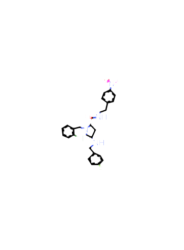 O=C(NCCc1ccc([N+](=O)[O-])cc1)[C@@H]1C[C@H](NCc2ccc(F)cc2)CN1Cc1ccccc1Cl